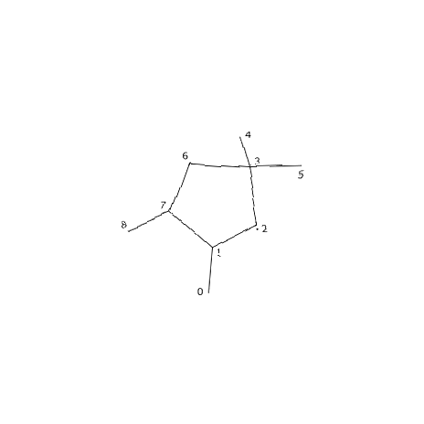 CC1[CH]C(C)(C)CC1C